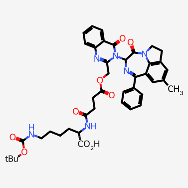 Cc1cc2c3c(c1)C(c1ccccc1)=NC(n1c(COC(=O)CCC(=O)NC(CCCCNC(=O)OC(C)(C)C)C(=O)O)nc4ccccc4c1=O)C(=O)N3CC2